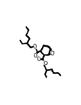 CCCCC(CC)COC(=O)C1CCC2OC2C1C(=O)OCC(CC)CCCC